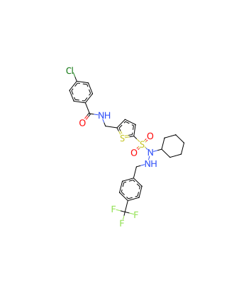 O=C(NCc1ccc(S(=O)(=O)N(NCc2ccc(C(F)(F)F)cc2)C2CCCCC2)s1)c1ccc(Cl)cc1